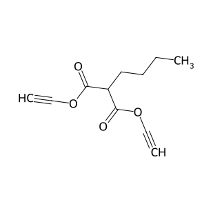 C#COC(=O)C(CCCC)C(=O)OC#C